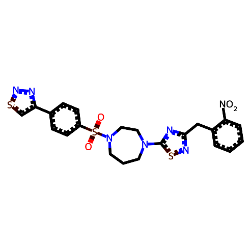 O=[N+]([O-])c1ccccc1Cc1nsc(N2CCCN(S(=O)(=O)c3ccc(-c4csnn4)cc3)CC2)n1